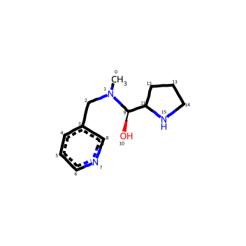 CN(Cc1cccnc1)[C@H](O)C1CCCN1